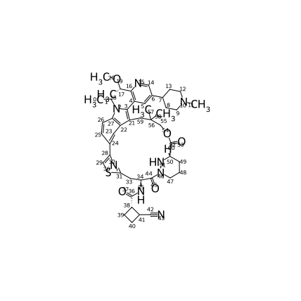 CCn1c(-c2cc(C3CCN(C)CC3)cnc2[C@H](C)OC)c2c3cc(ccc31)-c1csc(n1)C[C@H](NC(=O)[C@H]1CCC1C#N)C(=O)N1CCC[C@H](N1)C(=O)OCC(C)(C)C2